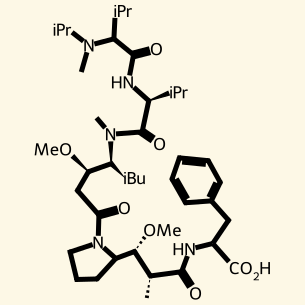 CC[C@H](C)[C@@H]([C@@H](CC(=O)N1CCCC1[C@H](OC)[C@@H](C)C(=O)NC(Cc1ccccc1)C(=O)O)OC)N(C)C(=O)[C@@H](NC(=O)C(C(C)C)N(C)C(C)C)C(C)C